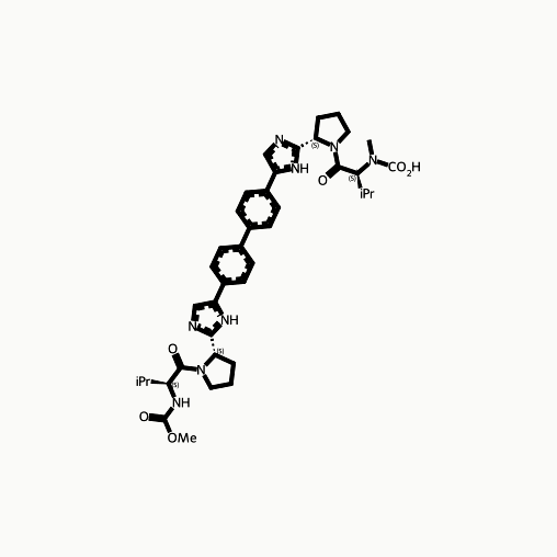 COC(=O)N[C@H](C(=O)N1CCC[C@H]1c1ncc(-c2ccc(-c3ccc(-c4cnc([C@@H]5CCCN5C(=O)[C@H](C(C)C)N(C)C(=O)O)[nH]4)cc3)cc2)[nH]1)C(C)C